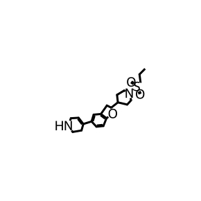 CCCS(=O)(=O)N1CCC(C2Cc3cc(C4=CCNCC4)ccc3O2)CC1